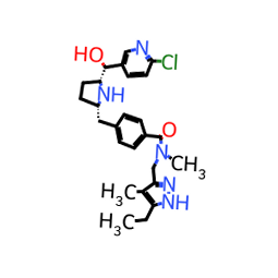 CCc1[nH]nc(CN(C)C(=O)c2ccc(C[C@@H]3CC[C@H](C(O)c4ccc(Cl)nc4)N3)cc2)c1C